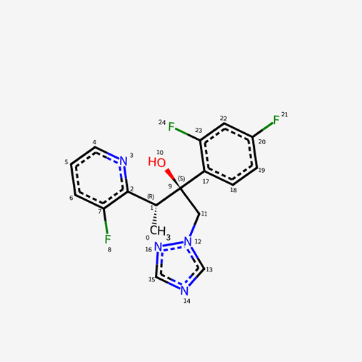 C[C@H](c1ncccc1F)[C@@](O)(Cn1cncn1)c1ccc(F)cc1F